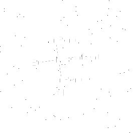 CCCCC[N+](CC)(CCCCC)CCCCC.[Cl-]